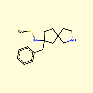 CC(C)(C)SNC1(Cc2ccccc2)CCC2(CCNC2)C1